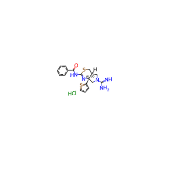 Cl.N=C(N)N1C[C@H]2CSC(NC(=O)c3ccccc3)=N[C@@]2(c2cccs2)C1